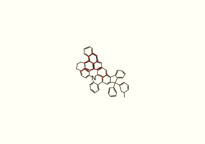 CC1C=CC=C(C2(c3ccccc3)c3ccccc3-c3ccc(-c4ccccc4N(c4ccccc4-c4cccc5c4ccc4ccccc45)c4ccccc4-c4cccc5cccc(C6CCCCC6)c45)cc32)C1